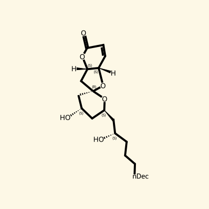 CCCCCCCCCCCCC[C@H](O)C[C@H]1C[C@H](O)C[C@@]2(C[C@@H]3OC(=O)C=C[C@@H]3O2)O1